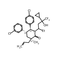 C=CC[C@@]1(C)C[C@H](c2cccc(Cl)c2)[C@@H](c2ccc(Cl)cc2)N(C(CC)CC(O)(C2CC2)C(F)(F)F)C1=O